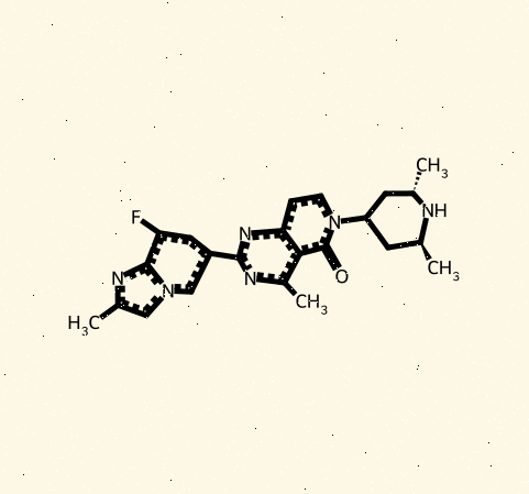 Cc1cn2cc(-c3nc(C)c4c(=O)n(C5C[C@H](C)N[C@@H](C)C5)ccc4n3)cc(F)c2n1